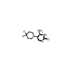 Nc1[nH]c(=O)ncc1N1CCC(F)(F)CC1